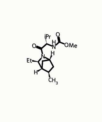 CC[C@@H]1[C@@H]2C[C@@H](C[C@H]2C)N1C(=O)[C@@H](NC(=O)OC)C(C)C